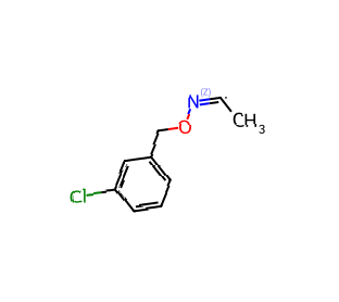 C/[C]=N\OCc1cccc(Cl)c1